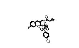 O=C(CBr)NCC(=Cc1ccc(F)cc1)C(=O)NS(=O)(=O)c1ccc(Cl)cc1